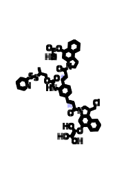 CC(COC(=O)Nc1cc(/C=C/C(=O)N2CC(CCl)c3c2cc(OC(O)=C(O)O)c2ccccc32)ccc1/C=C/C(=O)N1CCc2c1cc(O[PH](=O)O)c1ccccc21)SSc1ccccn1